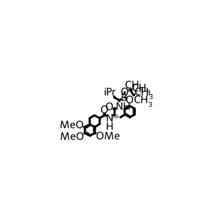 COc1cc(OC)c(OC)c2c1CC(C(=O)N[C@@H](Cc1ccccc1)C(=O)NC(CC(C)C)B1OC(C)(C)C(C)(C)O1)CC2